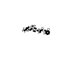 Cc1cc(C(F)(F)F)nn1CC(=O)N1CCN(c2nc(C(=O)OCc3c(F)cccc3Cl)cs2)CC1[S+](C)[O-]